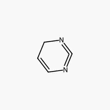 C1=NC=CCN=1